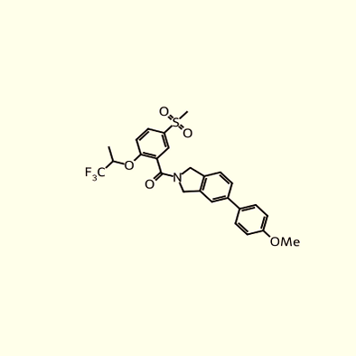 COc1ccc(-c2ccc3c(c2)CN(C(=O)c2cc(S(C)(=O)=O)ccc2OC(C)C(F)(F)F)C3)cc1